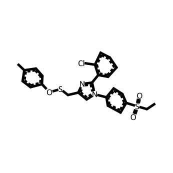 CCS(=O)(=O)c1ccc(-n2cc(CSOc3ccc(C)cc3)nc2-c2ccccc2Cl)cc1